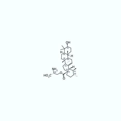 C[C@H]1[C@H](C)CC[C@]2(C(=O)OC[C@@H](N)C(=O)O)CC[C@]3(C)C(=CC[C@@H]4[C@@]5(C)CC[C@H](O)C(C)(C)[C@@H]5CC[C@]43C)[C@H]12